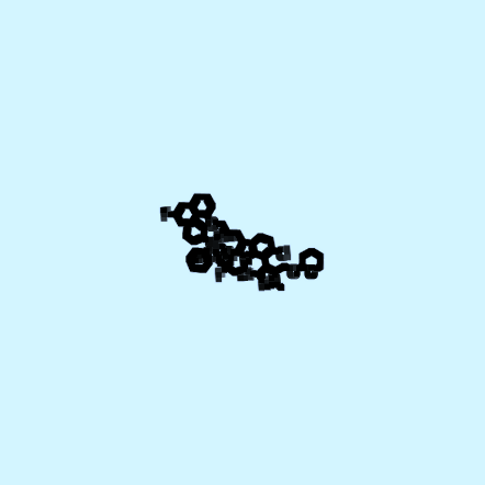 CCOC(=O)c1c(CCCOc2cccc3cc(F)ccc23)c2ccc(Cl)c(-c3c(CC)nn(C)c3COC3CCCCO3)c2n1CCC(F)(F)CO[Si](c1ccccc1)(c1ccccc1)C(C)(C)C